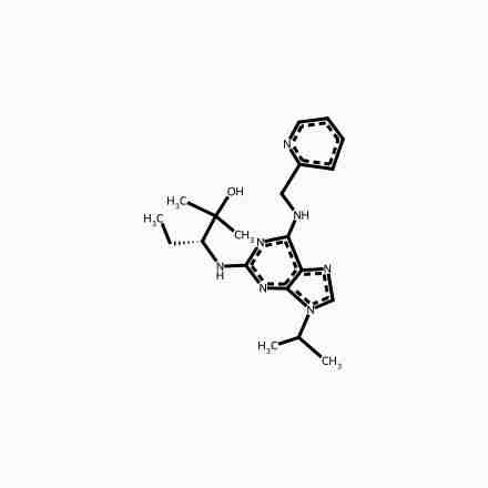 CC[C@@H](Nc1nc(NCc2ccccn2)c2ncn(C(C)C)c2n1)C(C)(C)O